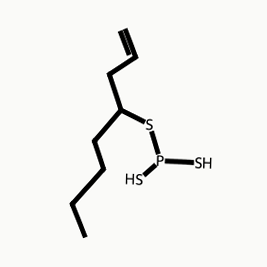 C=CCC(CCCC)SP(S)S